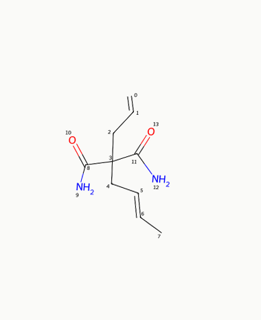 C=CCC(CC=CC)(C(N)=O)C(N)=O